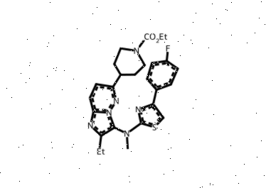 CCOC(=O)N1CCC(c2ccc3nc(CC)c(N(C)c4nc(-c5ccc(F)cc5)cs4)n3n2)CC1